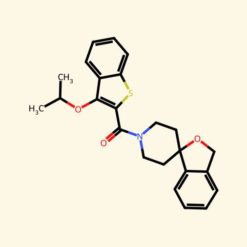 CC(C)Oc1c(C(=O)N2CCC3(CC2)OCc2ccccc23)sc2ccccc12